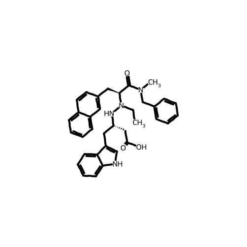 CCN(N[C@H](CC(=O)O)Cc1c[nH]c2ccccc12)[C@@H](Cc1ccc2ccccc2c1)C(=O)N(C)Cc1ccccc1